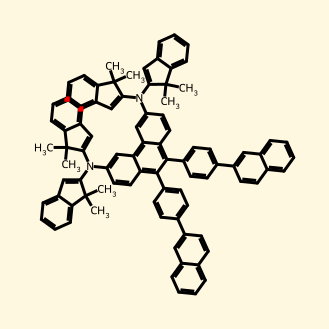 CC1(C)C(N(C2=Cc3ccccc3C2(C)C)c2ccc3c(-c4ccc(-c5ccc6ccccc6c5)cc4)c(-c4ccc(-c5ccc6ccccc6c5)cc4)c4ccc(N(C5=Cc6ccccc6C5(C)C)C5=Cc6ccccc6C5(C)C)cc4c3c2)=Cc2ccccc21